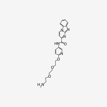 NCCOCCOCCOc1ccc(NC(=O)c2ccn3c(n2)nc2ccccc23)cn1